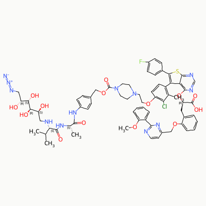 COc1ccccc1-c1nccc(COc2ccccc2C[C@@H](Oc2ncnc3sc(-c4ccc(F)cc4)c(-c4ccc(OCCN5CCN(C(=O)OCc6ccc(NC(=O)[C@H](C)NC(=O)[C@@H](NC[C@H](O)[C@@H](O)[C@@H](O)[C@H](O)CN=[N+]=[N-])C(C)C)cc6)CC5)c(Cl)c4C)c23)C(=O)O)n1